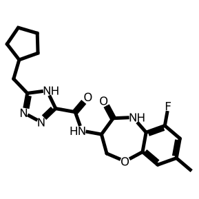 Cc1cc(F)c2c(c1)OCC(NC(=O)c1nnc(CC3CCCC3)[nH]1)C(=O)N2